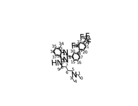 CCN(CC)CCCC(C)Nc1nc(-c2cccc(-c3ccc(C(F)(F)F)cc3F)c2)nc2c(C)cccc12